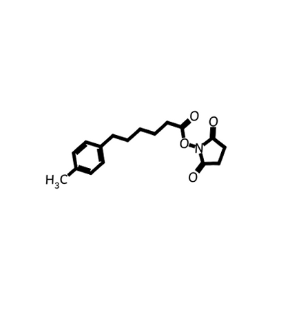 Cc1ccc(CCCCCC(=O)ON2C(=O)CCC2=O)cc1